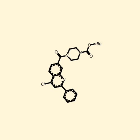 CC(C)(C)OC(=O)N1CCN(C(=O)c2ccc3c(Cl)cc(-c4ccccc4)nc3c2)CC1